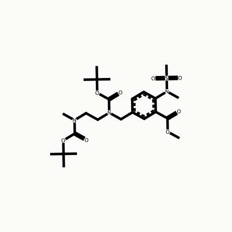 COC(=O)c1cc(CN(CCN(C)C(=O)OC(C)(C)C)C(=O)OC(C)(C)C)ccc1N(C)S(C)(=O)=O